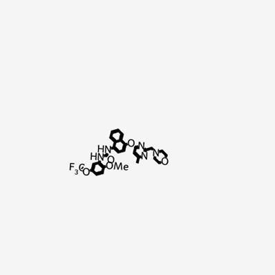 COc1ccc(OC(F)(F)F)cc1NC(=O)Nc1ccc(Oc2cc(C)nc(CN3CCOCC3)n2)c2ccccc12